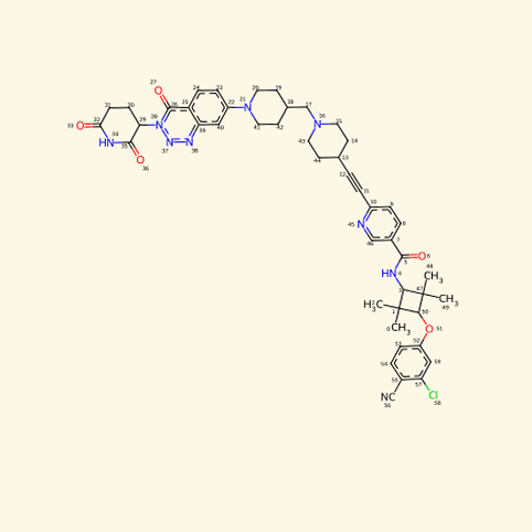 CC1(C)C(NC(=O)c2ccc(C#CC3CCN(CC4CCN(c5ccc6c(=O)n(C7CCC(=O)NC7=O)nnc6c5)CC4)CC3)nc2)C(C)(C)C1Oc1ccc(C#N)c(Cl)c1